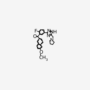 CCOc1ccc2cc(C(=O)c3cc(-c4n[nH]c(CN5CCCC5)n4)ccc3F)ccc2c1